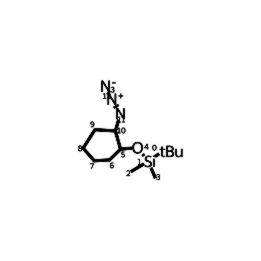 CC(C)(C)[Si](C)(C)OC1CCCCC1N=[N+]=[N-]